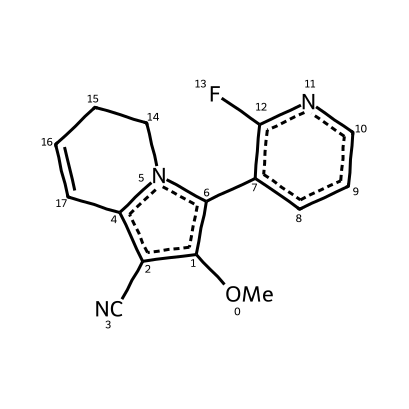 COc1c(C#N)c2n(c1-c1cccnc1F)CCC=C2